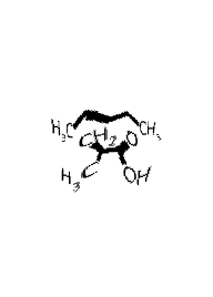 C=C(C)C(=O)O.CC=CCC